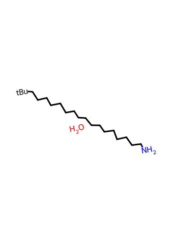 CC(C)(C)CCCCCCCCCCCCCCCCCN.O